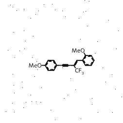 COc1ccc(C#CC(=Cc2ccccc2OC)C(F)(F)F)cc1